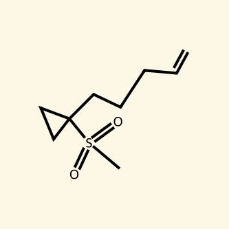 C=CCCCC1(S(C)(=O)=O)CC1